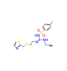 C#CCN/C(=N/CCSCc1nccs1)NS(=O)(=O)c1ccc(C)cc1